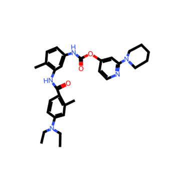 CCN(CC)c1ccc(C(=O)Nc2cc(NC(=O)Oc3ccnc(N4CCCCC4)c3)ccc2C)c(C)c1